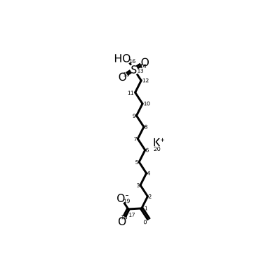 C=C(CCCCCCCCCCCS(=O)(=O)O)C(=O)[O-].[K+]